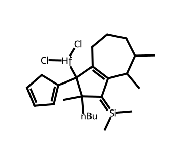 CCCCC1(C)C(=[Si](C)C)C2=C(CCCC(C)C2C)[C]1(C1=CC=CC1)[Hf]([Cl])[Cl]